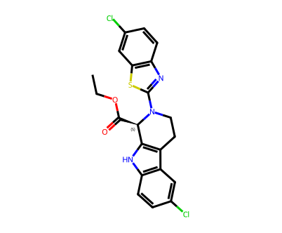 CCOC(=O)[C@@H]1c2[nH]c3ccc(Cl)cc3c2CCN1c1nc2ccc(Cl)cc2s1